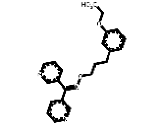 O=C(O)COc1cccc(CCCON=C(c2cccnc2)c2cccnc2)c1